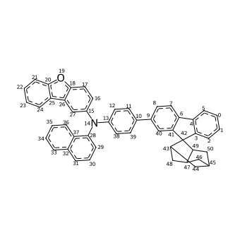 c1ccc2c(c1)-c1ccc(-c3ccc(N(c4ccc5oc6ccccc6c5c4)c4cccc5ccccc45)cc3)cc1C21C2CC3CC(C2)C1C3